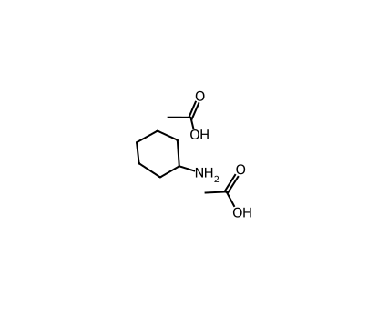 CC(=O)O.CC(=O)O.NC1CCCCC1